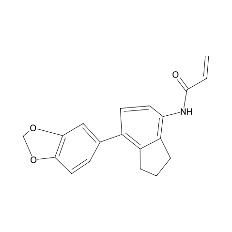 C=CC(=O)Nc1ccc(-c2ccc3c(c2)OCO3)c2c1CCC2